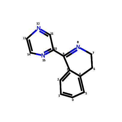 c1ccc2c(c1)CCN=C2c1cnccn1